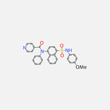 COc1ccc(NS(=O)(=O)c2ccc(N(C(=O)c3ccncc3)c3ccccc3)c3ccccc23)cc1